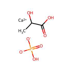 CC(O)C(=O)O.O=P([O-])([O-])O.[Ca+2]